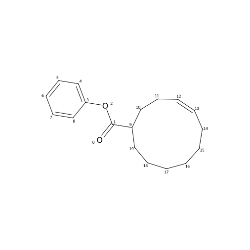 O=C(Oc1ccccc1)C1CCC=CCCCCCC1